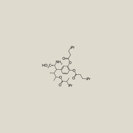 CC(C)CCC(=O)Oc1ccc(C(C(C)C(C)OC(=O)C(C)C(C)C)[C@H](N)C(=O)O)cc1OC(=O)CCC(C)C